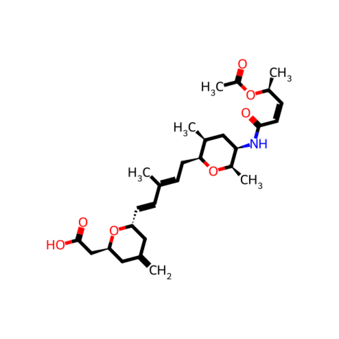 C=C1C[C@@H](CC(=O)O)O[C@H](/C=C/C(C)=C/C[C@@H]2O[C@H](C)[C@H](NC(=O)/C=C\[C@H](C)OC(C)=O)C[C@@H]2C)C1